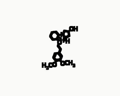 [2H]C1([2H])C[C@@H](O)CN1[C@@H]1CCCCC1OCCc1ccc(OC)c(OC)c1